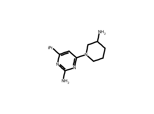 CC(C)c1cc(N2CCCC(N)C2)nc(N)n1